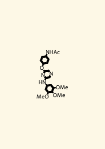 COc1cc(Nc2cncc(Oc3ccc(NC(C)=O)cc3)n2)cc(OC)c1OC